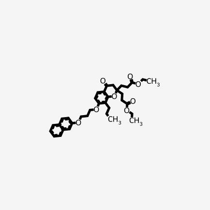 CCCc1c(OCCCOc2ccc3ccccc3c2)ccc2c1OC(CCC(=O)OCC)(CCC(=O)OCC)CC2=O